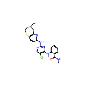 CCC1CCSc2ccc(Nc3ncc(Cl)c(Nc4ccccc4C(=O)NC)n3)nc2C1